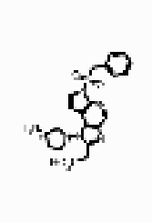 N[C@@H]1CCN(n2c(CC(=O)O)nc3cnc4c(ccn4S(=O)(=O)Cc4ccccc4)c32)C1